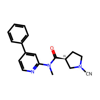 CN(C(=O)[C@H]1CCN(C#N)C1)c1cc(-c2ccccc2)ccn1